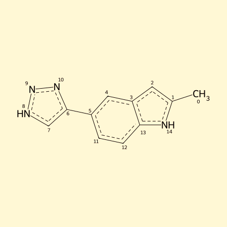 Cc1cc2cc(-c3c[nH]nn3)ccc2[nH]1